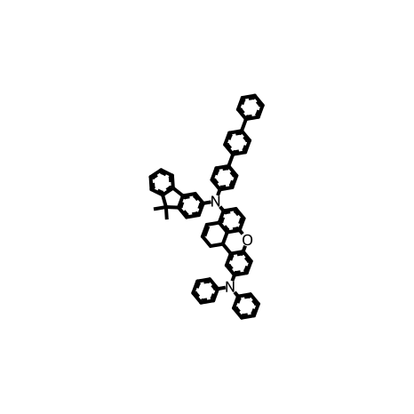 CC1(C)c2ccccc2-c2cc(N(c3ccc(-c4ccc(-c5ccccc5)cc4)cc3)c3ccc4c5c3C=CCC5c3cc(N(c5ccccc5)c5ccccc5)ccc3O4)ccc21